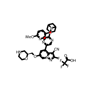 COc1ccc(CN2C3CC2CN(c2cnc(-c4cc(OC[C@@H]5CNCCO5)cn5nc(F)c(C#N)c45)cn2)C3)cn1.O=C(O)C(F)(F)F